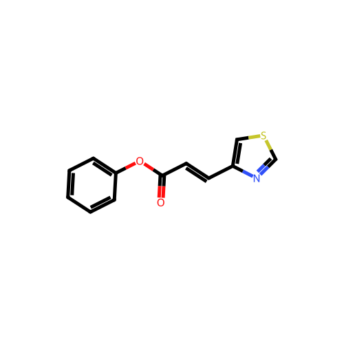 O=C(C=Cc1cscn1)Oc1ccccc1